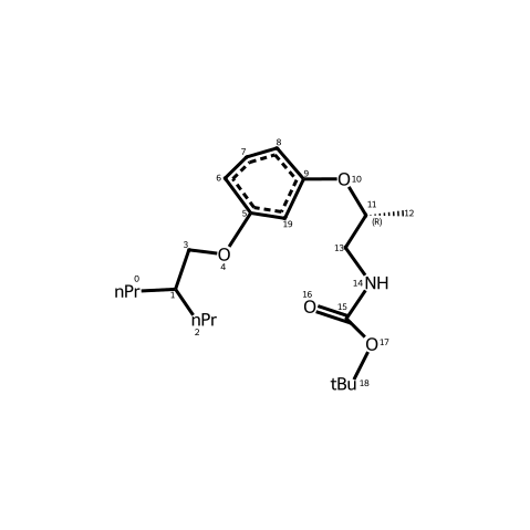 CCCC(CCC)COc1cccc(O[C@H](C)CNC(=O)OC(C)(C)C)c1